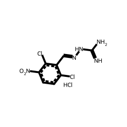 Cl.N=C(N)N/N=C/c1c(Cl)ccc([N+](=O)[O-])c1Cl